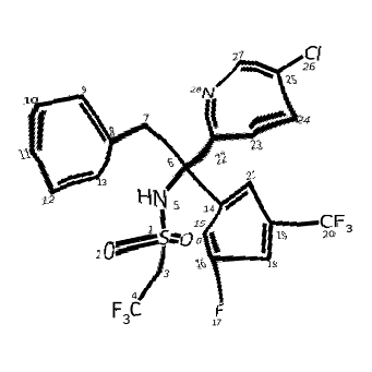 O=S(=O)(CC(F)(F)F)NC(Cc1ccccc1)(c1cc(F)cc(C(F)(F)F)c1)c1ccc(Cl)cn1